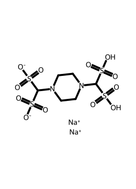 O=S(=O)([O-])C(N1CCN(C(S(=O)(=O)O)S(=O)(=O)O)CC1)S(=O)(=O)[O-].[Na+].[Na+]